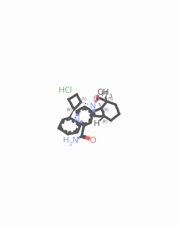 CO[C@@]1(c2ccnc(C(N)=O)c2)[C@@H]2CCC[C@H]1CN([C@H]1CC[C@@H]1c1ccccc1)C2.Cl